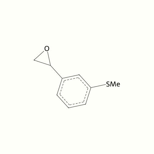 CSc1cccc(C2CO2)c1